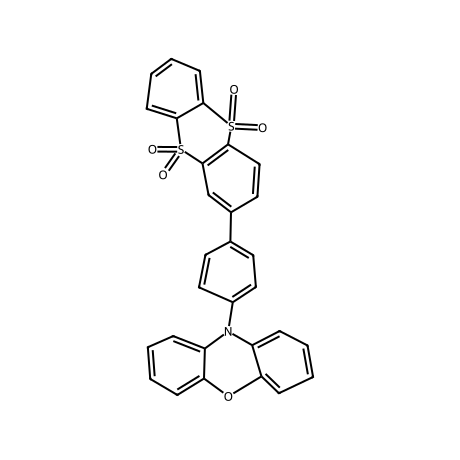 O=S1(=O)c2ccccc2S(=O)(=O)c2cc(-c3ccc(N4c5ccccc5Oc5ccccc54)cc3)ccc21